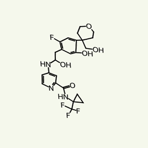 O=C(NC1(C(F)(F)F)CC1)c1cc(NC(O)Cc2cc(O)c(C3(CO)CCOCC3)cc2F)ccn1